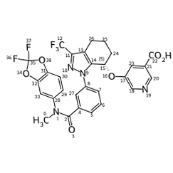 CN(C(=O)c1cccc(-n2nc(C(F)(F)F)c3c2[C@@H](Oc2cncc(C(=O)O)c2)CCC3)c1)c1ccc2c(c1)OC(F)(F)O2